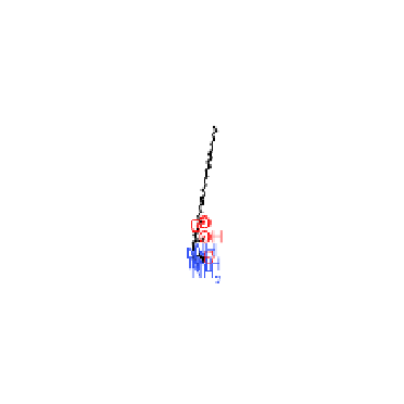 CCCCCCCCCCCCCCCCCCCCCC(=O)OCCC(CO)Cc1nc2nc(N)[nH]c(=O)c2[nH]1